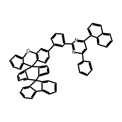 c1ccc(-c2cc(-c3cccc4ccccc34)nc(-c3cccc(-c4ccc5c(c4)Oc4ccccc4C54c5ccccc5C5(c6ccccc6-c6ccccc65)c5ccccc54)c3)n2)cc1